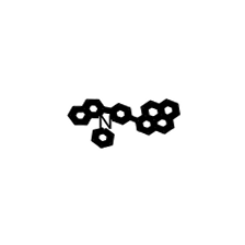 c1ccc(-n2c3cc(-c4ccc5ccc6cccc7ccc4c5c67)ccc3c3ccc4ccccc4c32)cc1